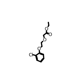 CCOC(=O)COCCOc1ccccc1Cl